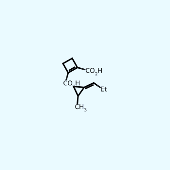 CCC=C1CC1C.O=C(O)C1=C(C(=O)O)CC1